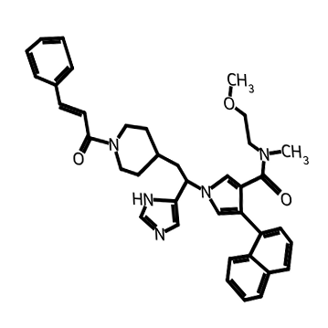 COCCN(C)C(=O)c1cn(C(CC2CCN(C(=O)C=Cc3ccccc3)CC2)c2cnc[nH]2)cc1-c1cccc2ccccc12